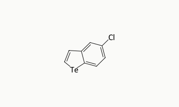 Clc1ccc2[te]ccc2c1